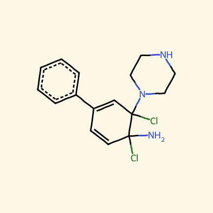 NC1(Cl)C=CC(c2ccccc2)=CC1(Cl)N1CCNCC1